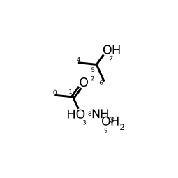 CC(=O)O.CC(C)O.N.O